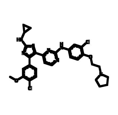 COc1cc(-c2nc(NC3CC3)sc2-c2ccnc(Nc3ccc(OCCN4CCCC4)c(Cl)c3)n2)ccc1Cl